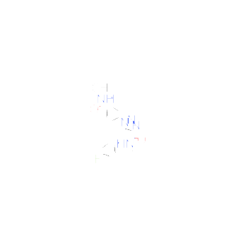 CCNC(=O)c1ccc(-n2nnc(C(=O)NC3CC3)c2CCc2ccc(F)cc2)cc1